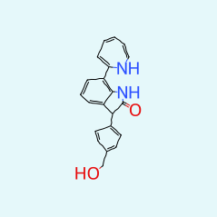 O=C1Nc2c(C3=CC=CC=CN3)cccc2C1c1ccc(CO)cc1